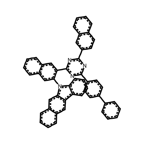 c1ccc(-c2ccc(-c3nc(-c4ccc5ccccc5c4)nc(-c4cc5ccccc5cc4-n4c5ccccc5c5cc6ccccc6cc54)n3)cc2)cc1